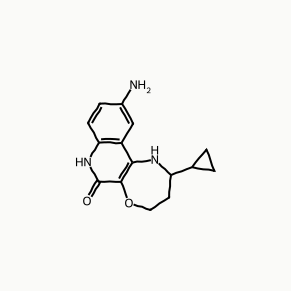 Nc1ccc2[nH]c(=O)c3c(c2c1)NC(C1CC1)CCO3